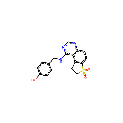 O=S1(=O)CCc2c1ccc1ncnc(NCc3ccc(O)cc3)c21